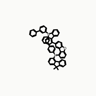 CC1(C)c2ccccc2-c2c(N(c3ccc(-c4ccccc4)cc3)c3cccc4oc5ccc(-c6cccc7c6c6ccccc6n7-c6cccc(-c7ccccc7)c6)cc5c34)cccc21